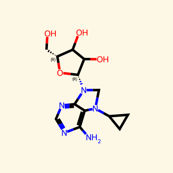 Nc1ncnc2c1N(C1CC1)CN2[C@@H]1O[C@H](CO)C(O)C1O